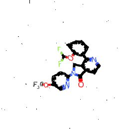 O=C1c2ccnc(-c3ccccc3OC(F)F)c2CN1c1ccc(OC(F)(F)F)cn1